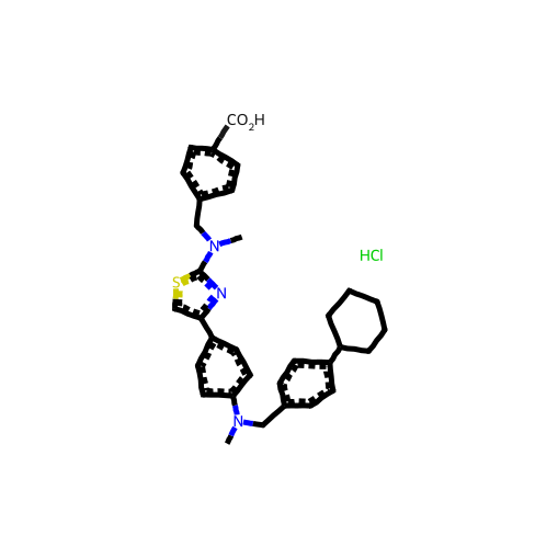 CN(Cc1ccc(C2CCCCC2)cc1)c1ccc(-c2csc(N(C)Cc3ccc(C(=O)O)cc3)n2)cc1.Cl